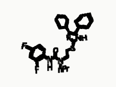 CCCN(CCSc1nc(-c2ccccc2)c(-c2ccccc2)[nH]1)C(=O)Nc1ccc(F)cc1F